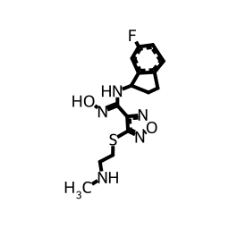 CNCCSc1nonc1/C(=N/O)NC1CCc2ccc(F)cc21